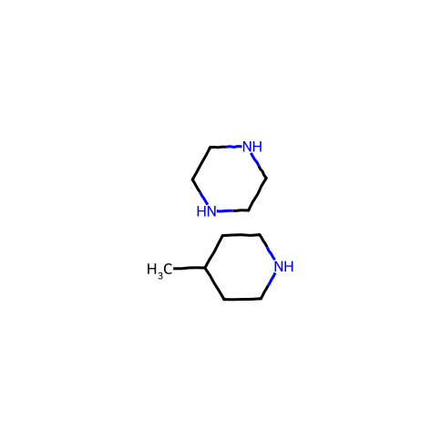 C1CNCCN1.CC1CCNCC1